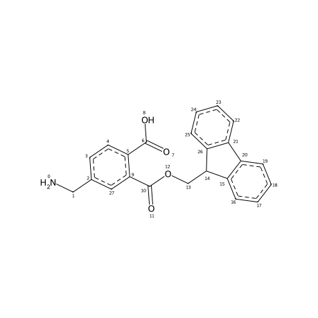 NCc1ccc(C(=O)O)c(C(=O)OCC2c3ccccc3-c3ccccc32)c1